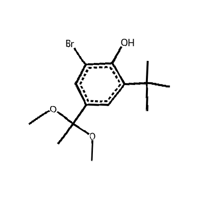 COC(C)(OC)c1cc(Br)c(O)c(C(C)(C)C)c1